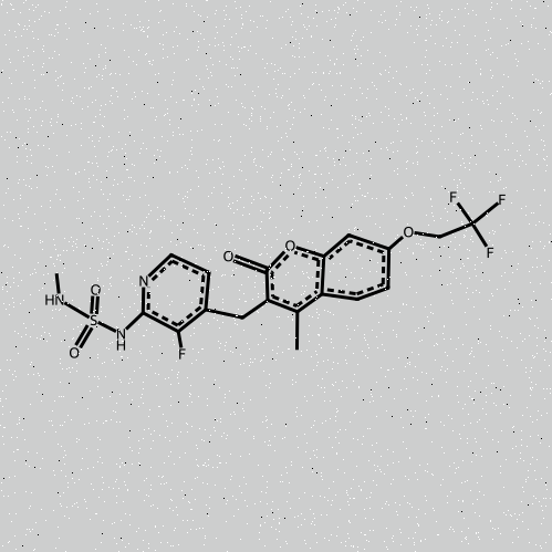 CNS(=O)(=O)Nc1nccc(Cc2c(C)c3ccc(OCC(F)(F)F)cc3oc2=O)c1F